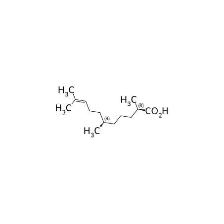 CC(C)=CCC[C@H](C)CCC[C@@H](C)C(=O)O